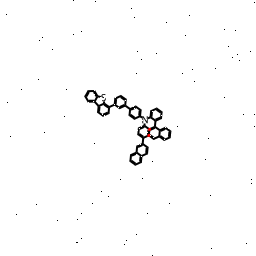 c1cc(-c2ccc(N(c3ccc(-c4ccc5ccccc5c4)cc3)c3ccccc3-c3cccc4ccccc34)cc2)cc(-c2cccc3c2sc2ccccc23)c1